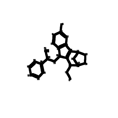 CCC1c2c(c3cc(C)ccc3n2CC(O)c2ccncc2)C2CCN1C2